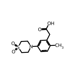 Cc1ccc(N2CCS(=O)(=O)CC2)cc1CC(=O)O